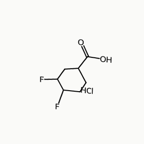 Cl.O=C(O)C1CCC(F)C(F)C1